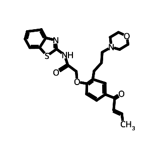 CC=CC(=O)c1ccc(OCC(=O)Nc2nc3ccccc3s2)c(CCCN2CCOCC2)c1